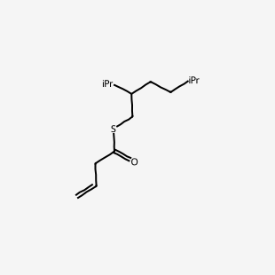 C=CCC(=O)SCC(CCC(C)C)C(C)C